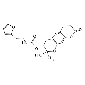 CC1(C)Oc2cc3oc(=O)ccc3cc2C[C@H]1OC(=O)N/C=C/c1ccco1